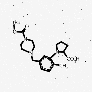 Cc1ccc(CN2CCN(C(=O)OC(C)(C)C)CC2)cc1N1CCCC1C(=O)O